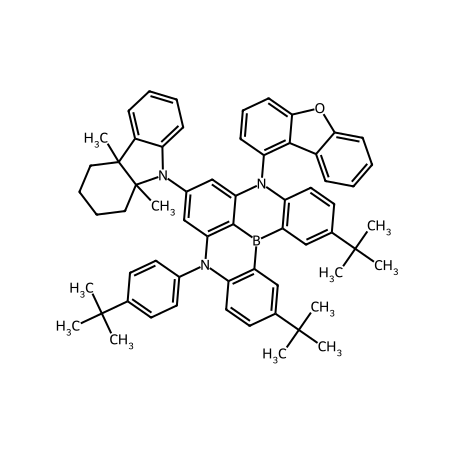 CC(C)(C)c1ccc(N2c3ccc(C(C)(C)C)cc3B3c4cc(C(C)(C)C)ccc4N(c4cccc5oc6ccccc6c45)c4cc(N5c6ccccc6C6(C)CCCCC56C)cc2c43)cc1